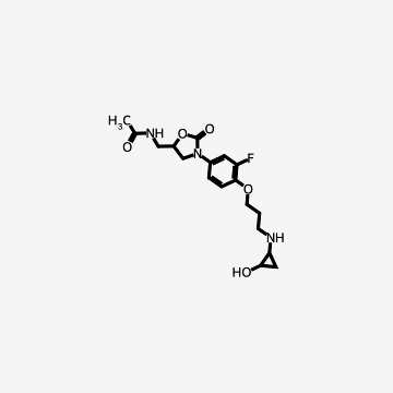 CC(=O)NCC1CN(c2ccc(OCCCNC3CC3O)c(F)c2)C(=O)O1